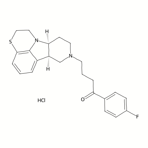 Cl.O=C(CCCN1CC[C@H]2[C@@H](C1)c1cccc3c1N2CCS3)c1ccc(F)cc1